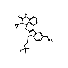 NCc1ccc2c(c1)nc(CC1c3ccccc3NC(=O)N1C1CC1)n2CCCC(F)(F)F